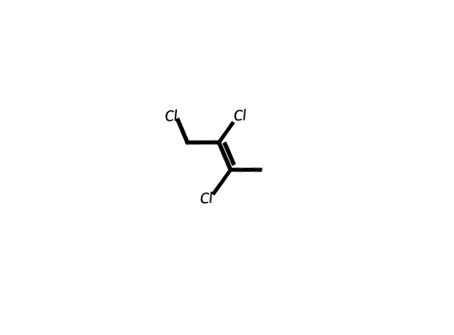 CC(Cl)=C(Cl)CCl